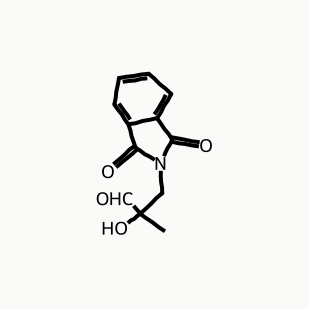 CC(O)(C=O)CN1C(=O)c2ccccc2C1=O